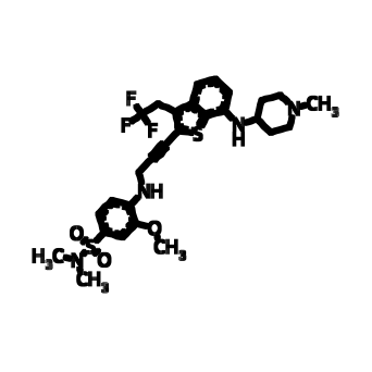 COc1cc(S(=O)(=O)N(C)C)ccc1NCC#Cc1sc2c(NC3CCN(C)CC3)cccc2c1CC(F)(F)F